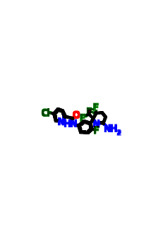 NC1=N[C@@](c2cc(NC(=O)c3ccc(Cl)cn3)ccc2F)(C(F)F)C(F)(F)CC1